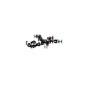 CC(C)c1ccccc1[C@H]1CN(Cc2ccc(F)cc2)CCN1C1CC2(CCN(c3ccc(C(=O)NS(=O)(=O)c4ccc(NC[C@H]5CC[C@](C)(O)CC5)c([N+](=O)[O-])c4)c(Oc4cnc5[nH]ccc5c4)c3)CC2)C1